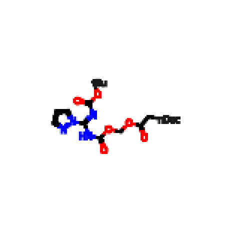 CCCCCCCCCCCC(=O)OCOC(=O)NC(=NC(=O)OC(C)(C)C)n1cccn1